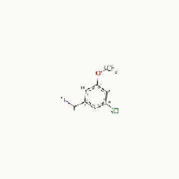 FC(F)(F)Oc1cc(Cl)cc(CI)c1